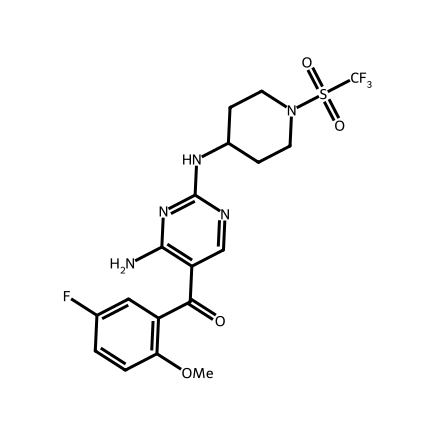 COc1ccc(F)cc1C(=O)c1cnc(NC2CCN(S(=O)(=O)C(F)(F)F)CC2)nc1N